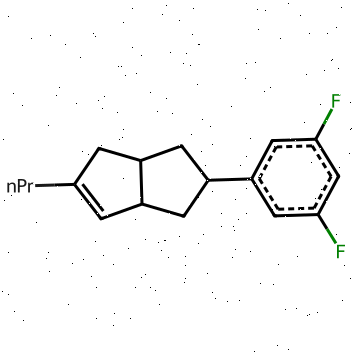 CCCC1=CC2CC(c3cc(F)cc(F)c3)CC2C1